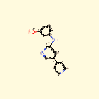 Oc1cccc(Nc2cncc(-c3ccncc3)c2)c1